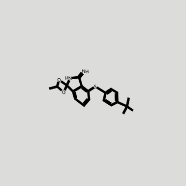 CC1OC2(NC(=N)c3c(Sc4ccc(C(C)(C)C)cc4)cccc32)O1